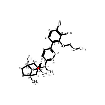 COCOc1c(-c2ccc(N(C)C3C[C@]4(C)CC[C@](C)(C3)N4C(=O)O)nn2)ccc(Cl)c1F